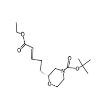 CCOC(=O)C=CCC[C@@H]1CN(C(=O)OC(C)(C)C)CCO1